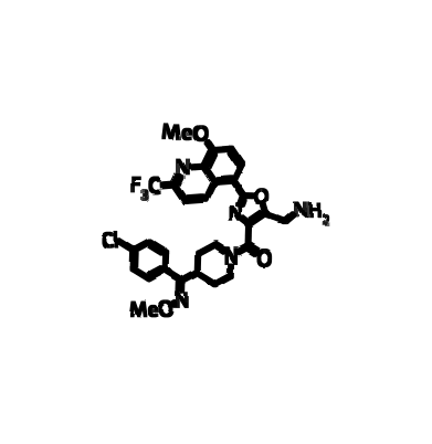 CON=C(c1ccc(Cl)cc1)C1CCN(C(=O)c2nc(-c3ccc(OC)c4nc(C(F)(F)F)ccc34)oc2CN)CC1